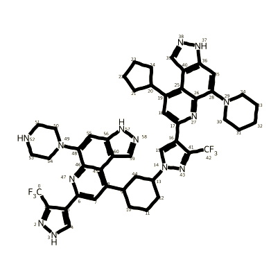 FC(F)(F)c1n[nH]cc1-c1cc(C2CCCC(n3cc(-c4cc(C5CCCC5)c5c(n4)c(N4CCCCC4)cc4[nH]ncc45)c(C(F)(F)F)n3)C2)c2c(n1)c(N1CCNCC1)cc1[nH]ncc12